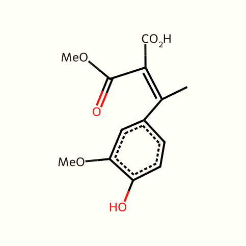 COC(=O)C(C(=O)O)=C(C)c1ccc(O)c(OC)c1